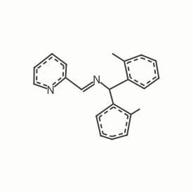 Cc1ccccc1C(N=Cc1ccccn1)c1ccccc1C